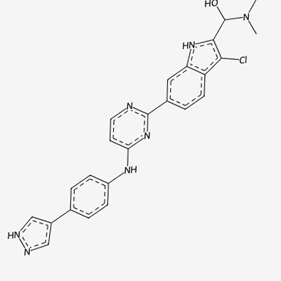 CN(C)C(O)c1[nH]c2cc(-c3nccc(Nc4ccc(-c5cn[nH]c5)cc4)n3)ccc2c1Cl